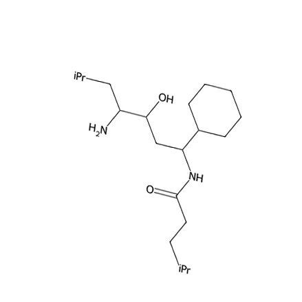 CC(C)CCC(=O)NC(CC(O)C(N)CC(C)C)C1CCCCC1